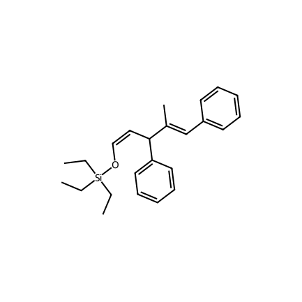 CC[Si](CC)(CC)O/C=C\C(/C(C)=C/c1ccccc1)c1ccccc1